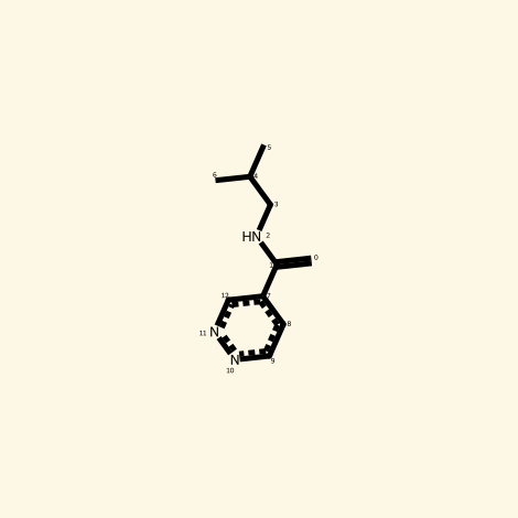 C=C(NCC(C)C)c1ccnnc1